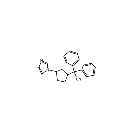 N#CC(c1ccccc1)(c1ccccc1)C1CCC(n2cnnc2)C1